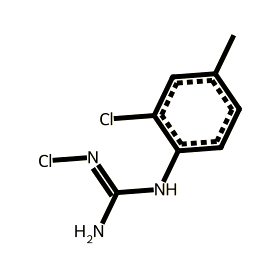 Cc1ccc(NC(N)=NCl)c(Cl)c1